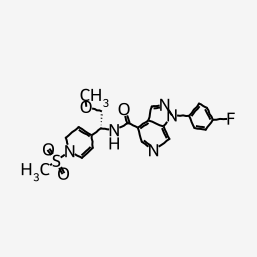 COC[C@H](NC(=O)c1cncc2c1cnn2-c1ccc(F)cc1)C1=CCN(S(C)(=O)=O)C=C1